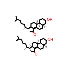 CC(C)CCC[C@@H](C)[C@H]1CC(=O)C2=C3CC[C@H]4C[C@@H](O)CC[C@]4(C)[C@H]3CC[C@@]21C.CC(C)CCC[C@@H](C)[C@H]1CC(=O)C2=C3CC[C@H]4C[C@@H](O)CC[C@]4(C)[C@H]3CC[C@@]21C